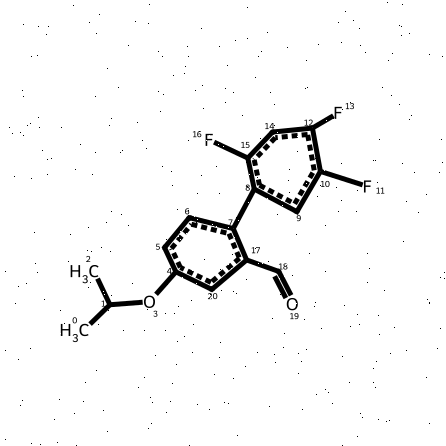 CC(C)Oc1ccc(-c2cc(F)c(F)cc2F)c(C=O)c1